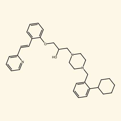 OC(COc1ccccc1/C=C/c1ccccn1)CN1CCN(Cc2ccccc2C2CCCCC2)CC1